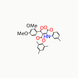 COc1ccc(C(=O)C(C(=O)Oc2c(C)cc(C)cc2C)=C2Nc3cc(C)ccc3OC2=O)c(OC)c1